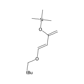 C=C(C=COCC(C)(C)C)O[Si](C)(C)C